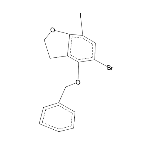 Brc1cc(I)c2c(c1OCc1ccccc1)CCO2